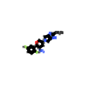 CCOC(=O)c1nc2c([nH]1)CN([C@H]1CO[C@@H](c3cc(F)ccc3F)[C@@H](N)C1)C2